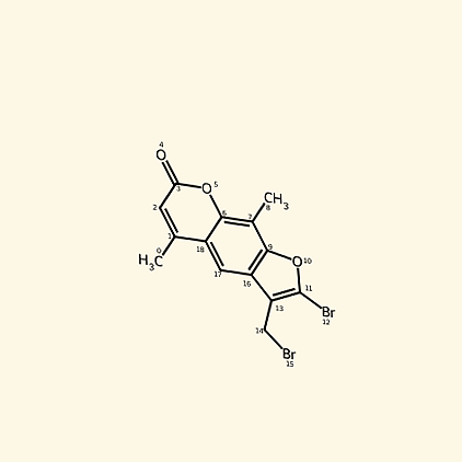 Cc1cc(=O)oc2c(C)c3oc(Br)c(CBr)c3cc12